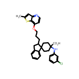 Cc1cc2nccc(OCCCC3Cc4ccccc4C34CCC(Nc3cccc(Cl)c3)(C(=O)O)CC4)c2s1